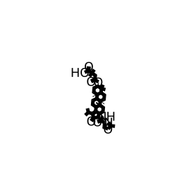 Cc1nc(C(=O)N[C@@]23CC[C@]4(C)C(CCC5[C@@]6(C)CC[C@H](OC(=O)CC(C)(C)C(=O)O)C(C)(C)C6CC[C@]54C)C2=C(C(C)C)C(=O)C3)co1